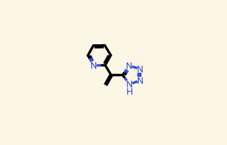 C=C(c1ccccn1)c1nnn[nH]1